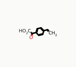 C=Cc1ccc(C(=O)C(=O)O)cc1